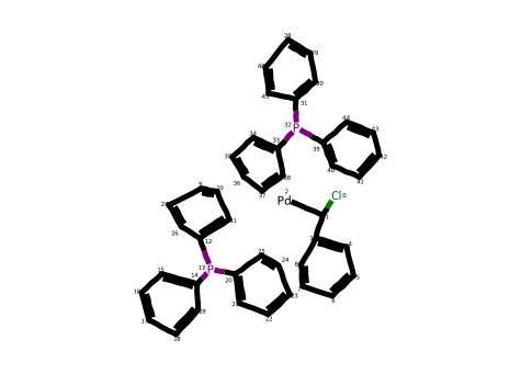 Cl[CH]([Pd])c1ccccc1.c1ccc(P(c2ccccc2)c2ccccc2)cc1.c1ccc(P(c2ccccc2)c2ccccc2)cc1